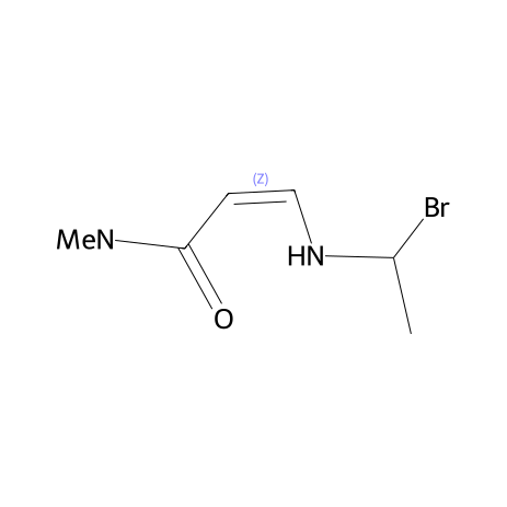 CNC(=O)/C=C\NC(C)Br